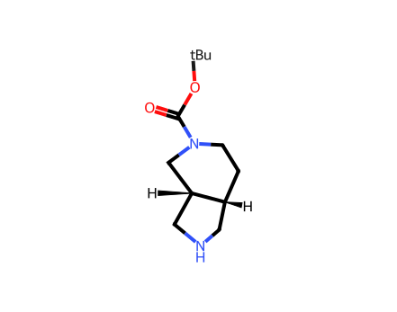 CC(C)(C)OC(=O)N1CC[C@@H]2CNC[C@@H]2C1